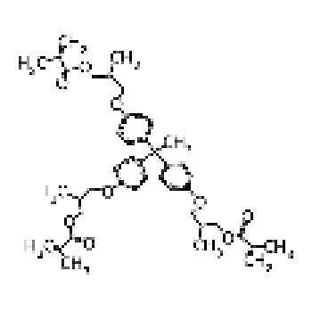 C=C(C)C(=O)OCC(C)COc1ccc(C(C)(c2ccc(OCC(C)COC(=O)C(=C)C)cc2)c2ccc(OCC(C)COC(=O)C(=C)C)cc2)cc1